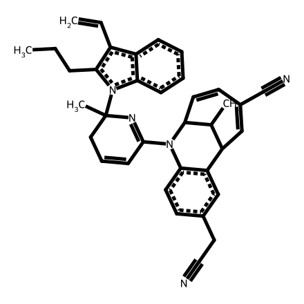 C=Cc1c(CCC)n(C2(C)CC=CC(N3c4ccc(CC#N)cc4C4C=C(C#N)C=CC3C4C)=N2)c2ccccc12